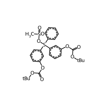 CC(C)(C)OC(=O)Oc1cccc(S(OS(C)(=O)=O)(c2ccccc2)c2cccc(OC(=O)OC(C)(C)C)c2)c1